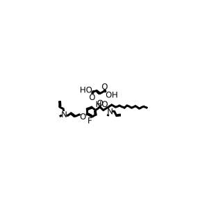 C=CCN(C)CC=CCOc1ccc(C(=O)CC(O)(CCCCCCCCCC)N(C)CC=C)cc1F.O=C(O)/C=C/C(=O)O